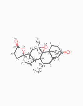 C[C@@H]1CC2=CC(=O)CCC2(C)[C@@]23O[C@@H]2CC2(C)C(CC[C@@]24CCC(=O)O4)C13